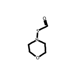 O=CSN1CCOCC1